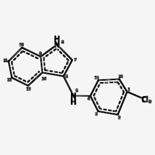 Clc1ccc(Nc2c[nH]c3ccccc23)cc1